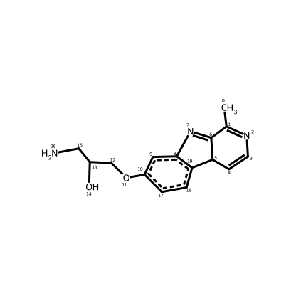 CC1=NC=CC2C1=Nc1cc(OCC(O)CN)ccc12